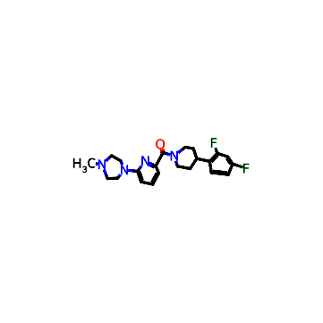 CN1CCN(c2cccc(C(=O)N3CCC(c4ccc(F)cc4F)CC3)n2)CC1